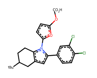 CC(C)(C)C1CCc2c(cc(-c3ccc(Cl)c(Cl)c3)n2-c2ccc(OC(=O)O)o2)C1